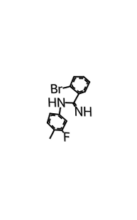 Cc1ccc(NC(=N)c2ccccc2Br)cc1F